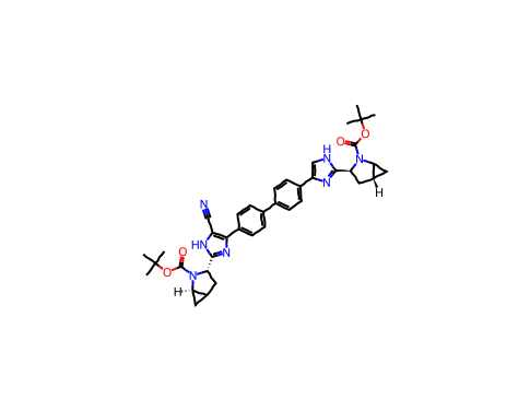 CC(C)(C)OC(=O)N1C2C[C@@H]2C[C@H]1c1nc(-c2ccc(-c3ccc(-c4nc([C@@H]5CC6C[C@H]6N5C(=O)OC(C)(C)C)[nH]c4C#N)cc3)cc2)c[nH]1